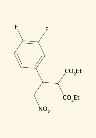 CCOC(=O)C(C(=O)OCC)C(C[N+](=O)[O-])c1ccc(F)c(F)c1